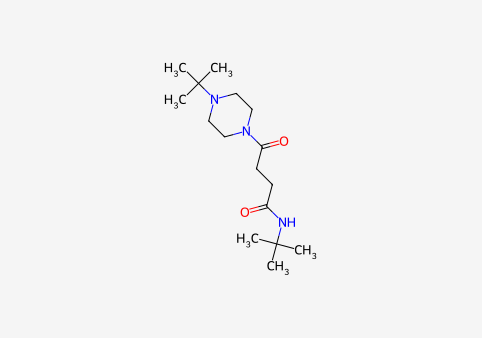 CC(C)(C)NC(=O)CCC(=O)N1CCN(C(C)(C)C)CC1